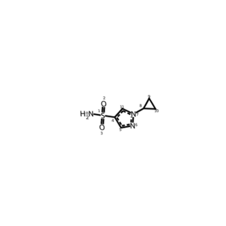 NS(=O)(=O)c1cnn(C2CC2)c1